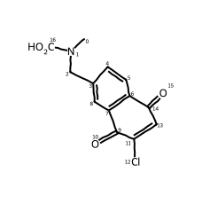 CN(Cc1ccc2c(c1)C(=O)C(Cl)=CC2=O)C(=O)O